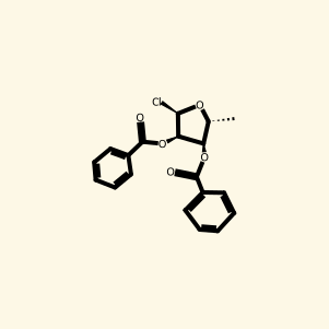 C[C@H]1O[C@H](Cl)[C@H](OC(=O)c2ccccc2)[C@@H]1OC(=O)c1ccccc1